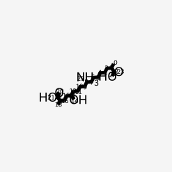 CC(CCCCCCCCCCCC(O)CCC(C)C(=O)O)C(=O)O.N